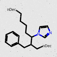 CCCCCCCCCCCCCCC(C(CCCCCCCCCCC)Cc1ccccc1)n1ccnc1